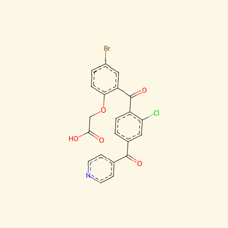 O=C(O)COc1ccc(Br)cc1C(=O)c1ccc(C(=O)c2ccncc2)cc1Cl